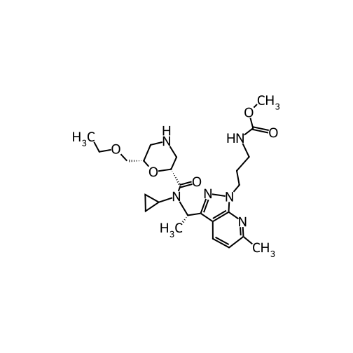 CCOC[C@@H]1CNC[C@H](C(=O)N(C2CC2)[C@@H](C)c2nn(CCCNC(=O)OC)c3nc(C)ccc23)O1